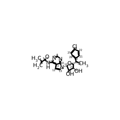 C=C(C)C(=O)Nc1ncnc2c1ccn2[C@@H]1O[C@H](C(C)c2ccc(Cl)cc2)[C@@H](O)[C@H]1O